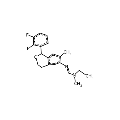 CCN(C)/C=N/c1cc2c(cc1C)C(c1cccc(F)c1F)OCC2